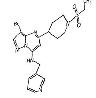 CCS(=O)(=O)N1CCC(c2cc(NCc3cccnc3)n3ncc(Br)c3n2)CC1